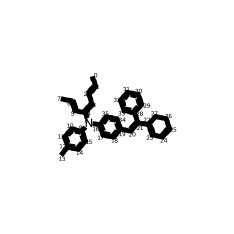 C/C=C/C=C(\C=C\C)N(c1ccc(C)cc1)c1ccc(/C=C(/C2=CC=CCC2)c2ccccc2)cc1